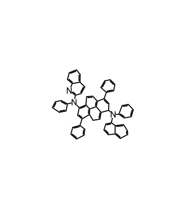 C1=C(c2ccccc2)c2ccc3c(N(c4ccccc4)c4ccc5ccccc5n4)cc(-c4ccccc4)c4c3c2C(=CC4)C1N(c1ccccc1)c1cccc2ccccc12